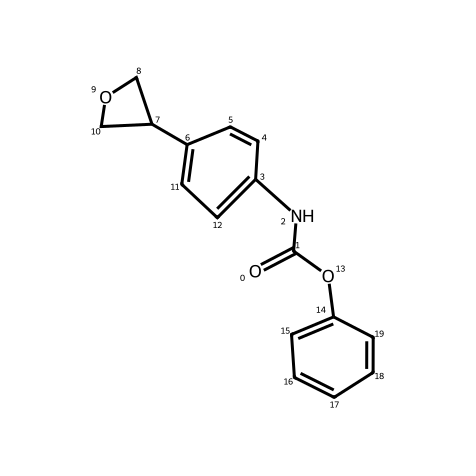 O=C(Nc1ccc(C2COC2)cc1)Oc1ccccc1